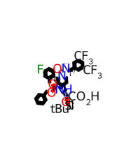 Cc1cc(F)ccc1[C@H]1C[C@@](C/C=C(/O[Si](C)(C)C(C)(C)C)C(=O)O)(NC(=O)OCc2ccccc2)CCN1C(=O)N(C)[C@@H](C)c1cc(C(F)(F)F)cc(C(F)(F)F)c1